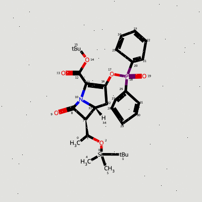 CC(O[Si](C)(C)C(C)(C)C)[C@H]1C(=O)N2C(C(=O)OC(C)(C)C)=C(OP(=O)(c3ccccc3)c3ccccc3)C[C@H]12